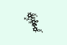 Cc1cccc(-c2nc3[nH]c(CNc4c(C)cccc4C)cc(=O)n3n2)c1